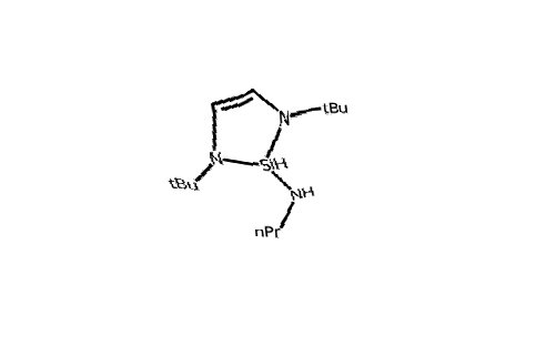 CCCN[SiH]1N(C(C)(C)C)C=CN1C(C)(C)C